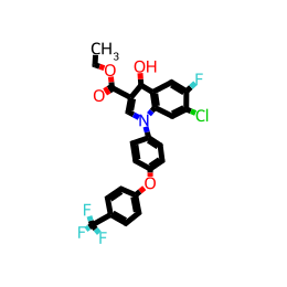 CCOC(=O)C1=CN(c2ccc(Oc3ccc(C(F)(F)F)cc3)cc2)c2cc(Cl)c(F)cc2C1O